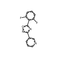 Fc1cccc(F)c1-c1nc(-c2cccnc2)no1